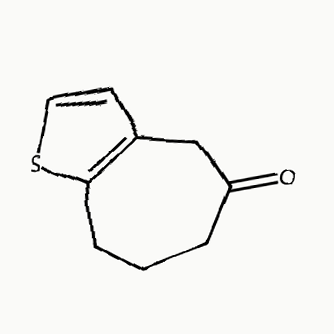 O=C1CCCc2sccc2C1